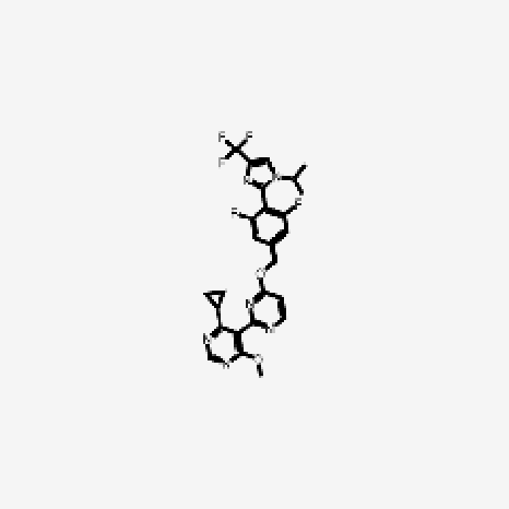 COc1ncnc(C2CC2)c1-c1nccc(OCc2cc(F)c(-c3nc(C(F)(F)F)cn3C(C)C)c(F)c2)n1